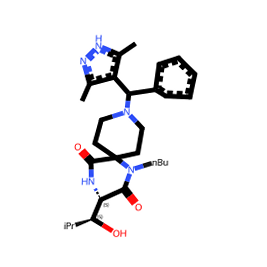 CCCCN1C(=O)[C@H]([C@@H](O)C(C)C)NC(=O)C12CCN(C(c1ccccc1)c1c(C)n[nH]c1C)CC2